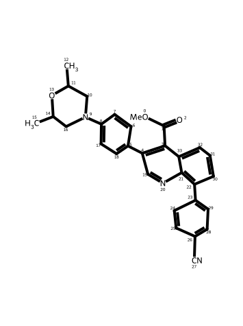 COC(=O)c1c(-c2ccc(N3CC(C)OC(C)C3)cc2)cnc2c(-c3ccc(C#N)cc3)cccc12